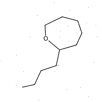 CCC[CH]C1CCCCCO1